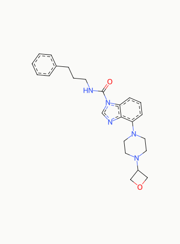 O=C(NCCCc1ccccc1)n1cnc2c(N3CCN(C4COC4)CC3)cccc21